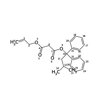 C=CCOC(=O)CC(=O)OC(CC(C)C)(c1ccccc1)c1ccccc1